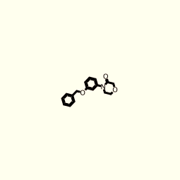 O=C1COCCN1c1cccc(OCc2ccccc2)c1